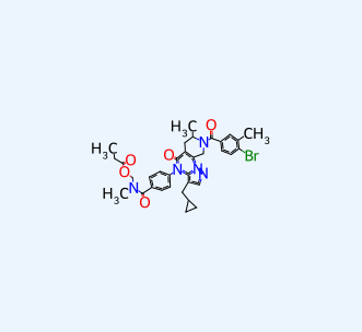 CCC(=O)OCN(C)C(=O)c1ccc(-n2c(=O)c3c(n4ncc(CC5CC5)c24)CN(C(=O)c2ccc(Br)c(C)c2)C(C)C3)cc1